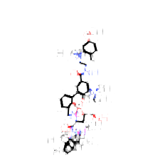 COc1ccc(C[C@@H](CN(C)C)NC(=O)c2cc(-c3cccc(CN4O[C@@H](CO)[C@@H]([C@H](C)O)[C@H]4C(=O)N[C@H]4C[C@H]5C[C@@H]([C@@H]4C)C5(C)C)c3OC)cc(N(C)C)c2)cc1